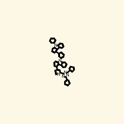 c1ccc(-c2nc(-c3ccccc3)nc(-c3cc(-c4cccc5c4c4ccccc4n5-c4cccc(-c5cccc6c5c5ccccc5n6-c5ccccc5)c4)ccn3)n2)cc1